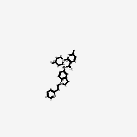 Cc1ccc(C(=O)Nc2ccc3c(c2)CCN3CCc2ccccn2)c(N2CCC(C)CC2)n1